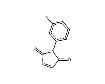 C=C1C=CC(=O)N1c1cccc(C)c1